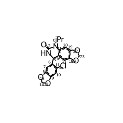 CC(C)N1C(=O)NC(c2cc3c(cc2Cl)OCO3)c2cc3c(cc21)OCO3